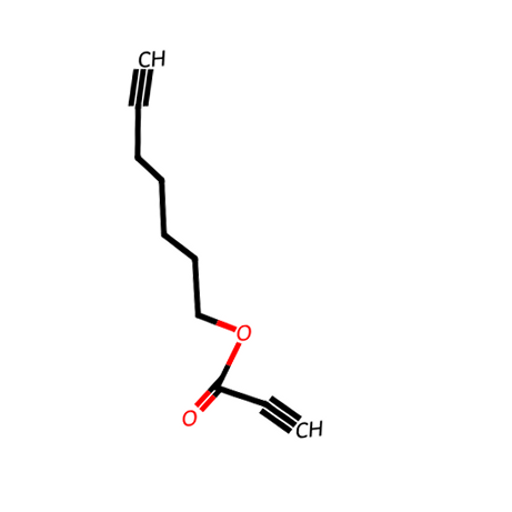 C#CCCCCCOC(=O)C#C